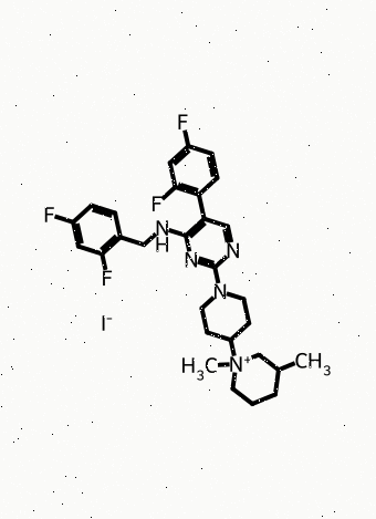 CC1CCC[N+](C)(C2CCN(c3ncc(-c4ccc(F)cc4F)c(NCc4ccc(F)cc4F)n3)CC2)C1.[I-]